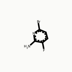 Nc1nc(Br)ccc1F